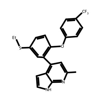 CCSc1ccc(Oc2ccc(C(F)(F)F)cc2)c(-c2cc(C)nc3[nH]ccc23)c1